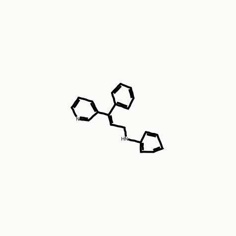 [c]1ccc(NC/C=C(\c2ccccc2)c2cccnc2)cc1